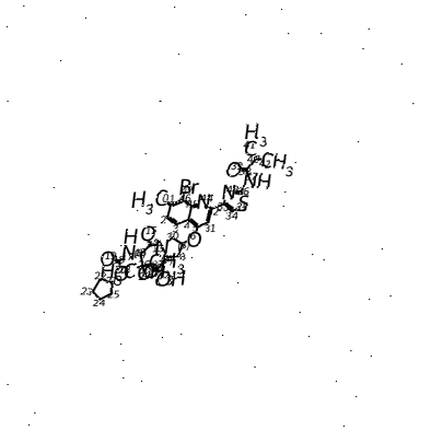 Cc1ccc2c(O[C@H]3C[C@@H](C(=O)O)N(C(=O)[C@@H](NC(=O)OC4CCCC4)C(C)(C)C)C3)cc(-c3csc(NC(=O)C(C)C)n3)nc2c1Br